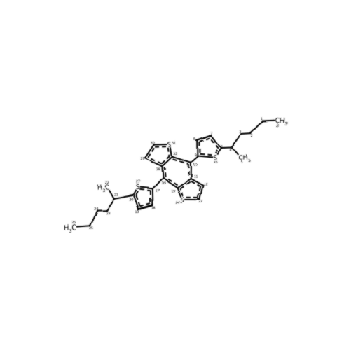 CCCCC(C)c1ccc(-c2c3ccsc3c(-c3ccc(C(C)CCCC)s3)c3ccsc23)s1